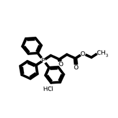 CCOC(=O)CC(=O)C[P](c1ccccc1)(c1ccccc1)c1ccccc1.Cl